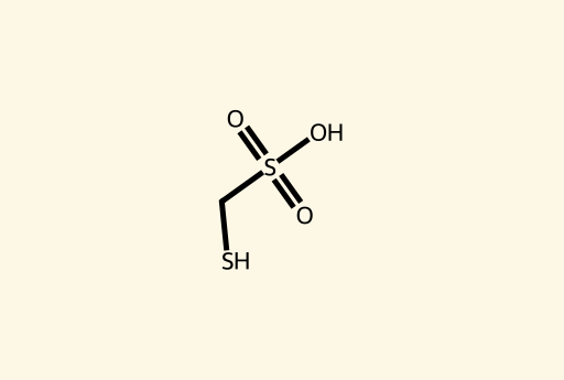 O=S(=O)(O)CS